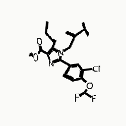 CCCc1c(C(=O)OC)nc(-c2ccc(OC(F)F)c(Cl)c2)n1CC(C)C(C)C